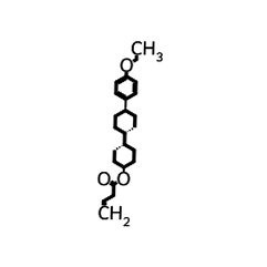 C=CCC(=O)O[C@H]1CC[C@H]([C@H]2CC[C@H](c3ccc(OCC)cc3)CC2)CC1